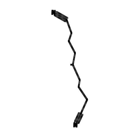 N#CCCC[CH]CCCC#N